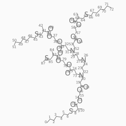 CCCCCCCSCC(C)C(=O)OCCOC(=O)CCN(CCCN(C)CCCN(CCC(=O)OCCOC(=O)C(C)CSCCCCCCC)CCC(=O)OCCOC(=O)C(C)CSCCCCCCC)CCC(=O)OCCOC(=O)C(C)CSC